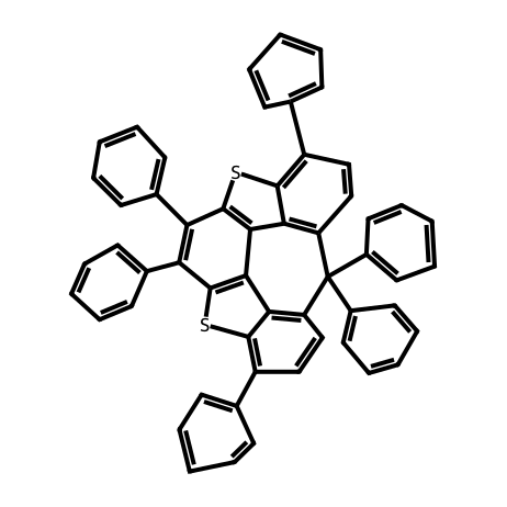 c1ccc(-c2ccc3c4c2sc2c(-c5ccccc5)c(-c5ccccc5)c5sc6c(-c7ccccc7)ccc(c6c5c24)C3(c2ccccc2)c2ccccc2)cc1